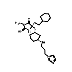 CN1C(=N)N[C@](CCC2CCCCC2)(C[C@H]2CCC[C@H](NCCCn3ccnc3)C2)C1=O